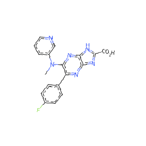 CN(c1cccnc1)c1nc2[nH]c(C(=O)O)nc2nc1-c1ccc(F)cc1